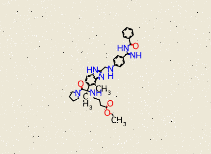 CCOC(=O)CCCN[C@@](C)(C(=O)N1CCCC1)c1ccc2[nH]c(CNc3ccc(C(=N)NC(=O)c4ccccc4)cc3)nc2c1C